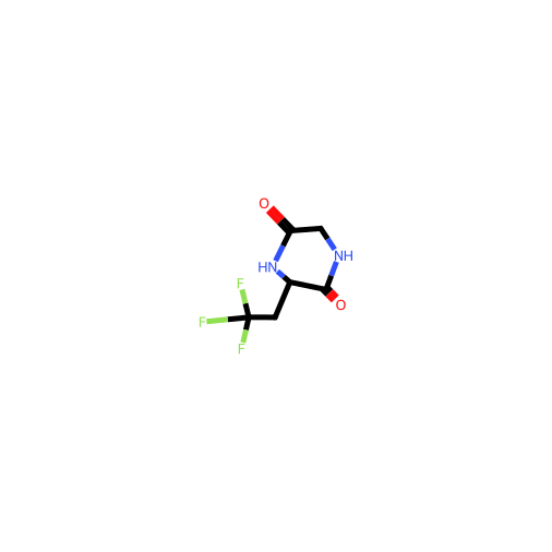 O=C1CNC(=O)C(CC(F)(F)F)N1